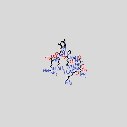 Cc1ccc(C[C@H](NC(=O)[C@@H]2CCCN2C(=O)[C@@H](CCCN)NC(=O)CNC(=O)[C@H](C)NC(=O)[C@@H](NC(=O)[C@@H](N)CCCCN)[C@@H](O)CN)C(=O)N[C@@H](CCCCN)C(=O)N/C(=C\CCNC(=N)N)C(=O)O)c(C)c1